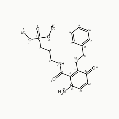 CCOP(=O)(CCCNC(=O)c1c(OCc2ccccc2)c(=O)ccn1N)OCC